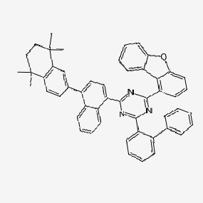 CC1(C)CCC(C)(C)c2cc(-c3ccc(-c4nc(-c5ccccc5-c5ccccc5)nc(-c5cccc6oc7ccccc7c56)n4)c4ccccc34)ccc21